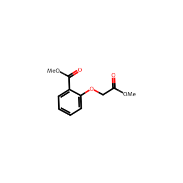 COC(=O)COc1ccccc1C(=O)OC